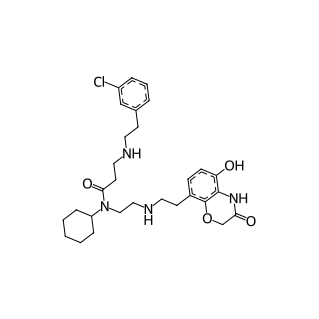 O=C1COc2c(CCNCCN(C(=O)CCNCCc3cccc(Cl)c3)C3CCCCC3)ccc(O)c2N1